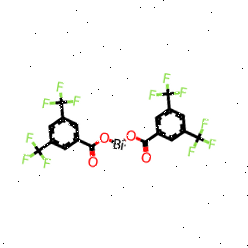 O=C([O][Bi][O]C(=O)c1cc(C(F)(F)F)cc(C(F)(F)F)c1)c1cc(C(F)(F)F)cc(C(F)(F)F)c1